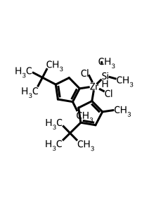 CC1=[C]([Zr]([Cl])([Cl])([C]2=C(C)C=C(C(C)(C)C)C2)[SiH](C)C)CC(C(C)(C)C)=C1